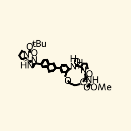 COC(=O)N[C@H]1CCCCOCc2cc(-c3ccc4cc(-c5c[nH]c([C@@H]6CCCN6C(=O)OC(C)(C)C)n5)ccc4c3)ccc2NC(=O)[C@@H]2CCCN2C1=O